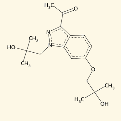 CC(=O)c1nn(CC(C)(C)O)c2cc(OCC(C)(C)O)ccc12